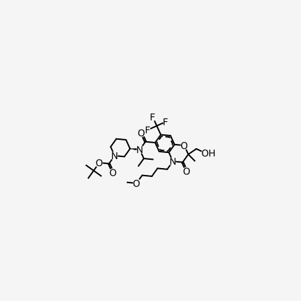 COCCCCN1C(=O)C(C)(CO)Oc2cc(C(F)(F)F)c(C(=O)N(C(C)C)[C@@H]3CCCN(C(=O)OC(C)(C)C)C3)cc21